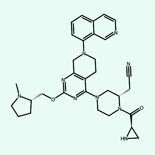 CN1CCC[C@H]1COc1nc2c(c(N3CCN(C(=O)[C@H]4CN4)[C@@H](CC#N)C3)n1)CCN(c1cccc3ccncc13)C2